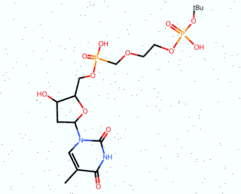 Cc1cn(C2CC(O)C(COP(=O)(O)COCCOP(=O)(O)OC(C)(C)C)O2)c(=O)[nH]c1=O